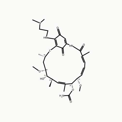 CO[C@H]1C=CC=C(C)C(=O)NC2=CC(=O)C(NCCN(C)C)=C(C[C@@H](C)C[C@@H](OC)[C@@H](O)[C@H](C)C=C(C)[C@H]1OC(N)=O)C2=O